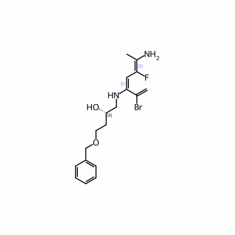 C=C(Br)/C(=C\C(F)=C(/C)N)NC[C@@H](O)CCOCc1ccccc1